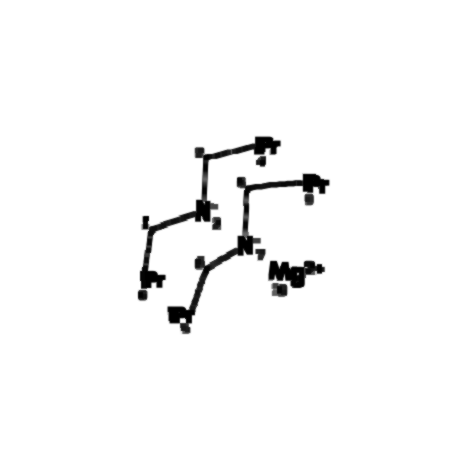 CC(C)C[N-]CC(C)C.CC(C)C[N-]CC(C)C.[Mg+2]